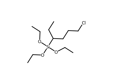 CCO[Si](OCC)(OCC)C(CC)CCCCl